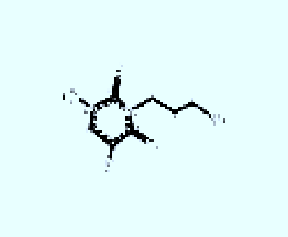 CCCCn1c(=O)c(Br)cn(C)c1=O